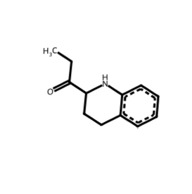 CCC(=O)C1CCc2[c]cccc2N1